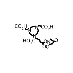 O=C(O)CN1CCN(CC(=O)O)CCN(C(CCC(=O)ON2CC(=O)CC2=O)C(=O)O)CC1